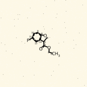 CCOC(=O)C1COc2ccc(F)cc21